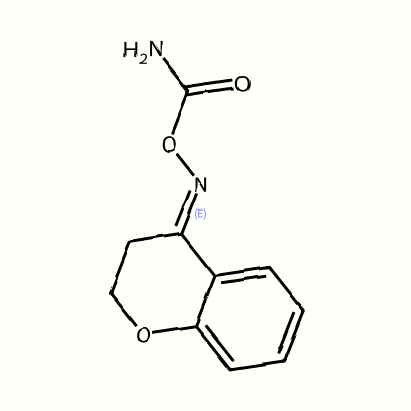 NC(=O)O/N=C1\CCOc2ccccc21